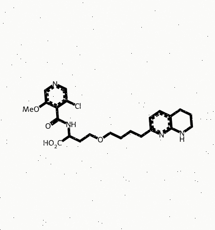 COc1cncc(Cl)c1C(=O)NC(CCOCCCCc1ccc2c(n1)NCCC2)C(=O)O